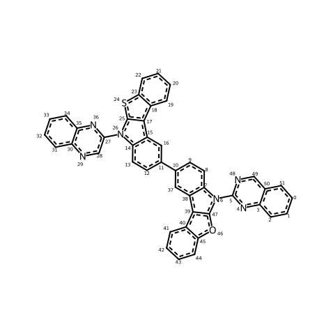 c1ccc2nc(-n3c4ccc(-c5ccc6c(c5)c5c7ccccc7sc5n6-c5cnc6ccccc6n5)cc4c4c5ccccc5oc43)ncc2c1